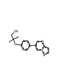 OCC(F)(F)Oc1ccc(-c2cnc3ccnn3c2)cc1